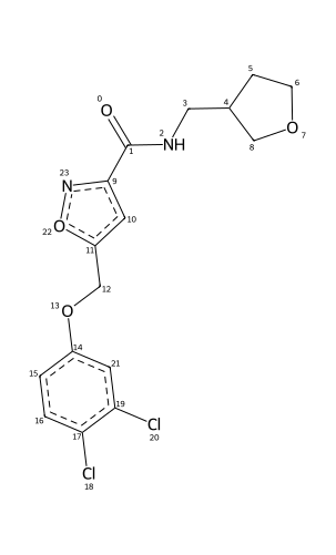 O=C(NCC1CCOC1)c1cc(COc2ccc(Cl)c(Cl)c2)on1